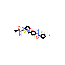 O=C(Nc1cc(Oc2ccc3nc(NC(=O)C4CC4)sc3n2)c(CI)cc1F)c1cccc(C(F)(F)F)c1F